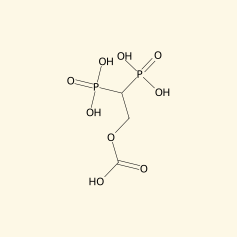 O=C(O)OCC(P(=O)(O)O)P(=O)(O)O